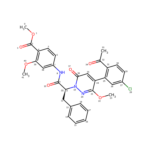 COC(=O)c1ccc(NC(=O)[C@H](Cc2ccccc2)n2nc(OC)c(-c3cc(Cl)ccc3C(C)=O)cc2=O)cc1OC